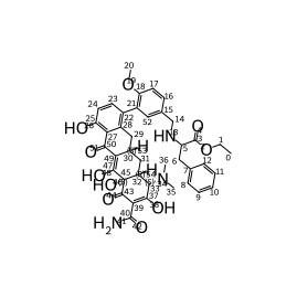 CCOC(=O)C(Cc1ccccc1)NCc1ccc(OC)c(-c2ccc(O)c3c2C[C@@H]2C[C@@H]4[C@H](N(C)C)C(O)=C(C(N)=O)C(=O)[C@@]4(O)C(O)=C2C3=O)c1